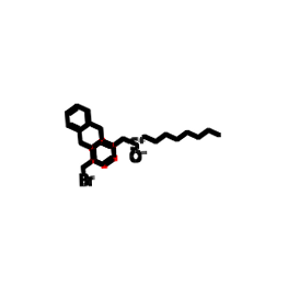 CCCCCCCC[S+]([O-])Cc1ccc(CBr)c2c1C1c3ccccc3C2c2ccccc21